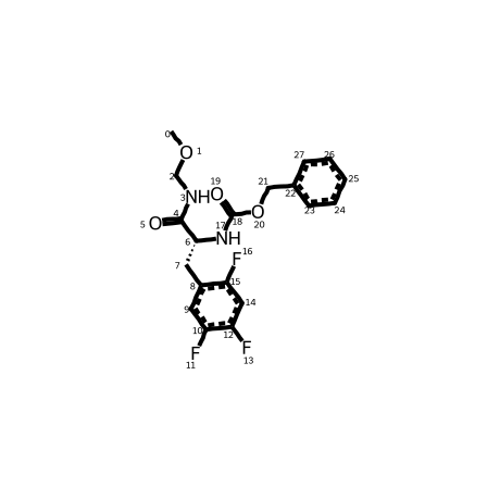 COCNC(=O)[C@@H](Cc1cc(F)c(F)cc1F)NC(=O)OCc1ccccc1